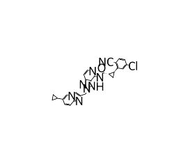 N#Cc1ccc(Cl)cc1[C@H]1C[C@@H]1C(=O)Nc1nccc2nn(Cc3cn4cc(C5CC5)ccc4n3)nc12